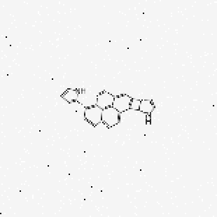 C1=CC2c3cc4ccc5c(-c6ccc[nH]6)ccc6ccc(c3C2N1)c4c65